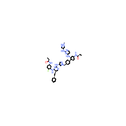 C=CC(=O)Nc1ccc(F)c(Nc2nc(Nc3cnn(Cc4ccc(-c5ccc(NC(=O)C=C)cc5Nc5ccnc(Nc6cnn(C)c6)n5)cc4)c3)ncc2C#Cc2ccccc2)c1